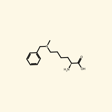 CN(CCCC[C@H](N)C(=O)O)Cc1ccccc1